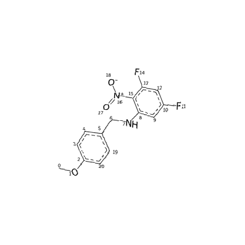 COc1ccc(CNc2cc(F)cc(F)c2[N+](=O)[O-])cc1